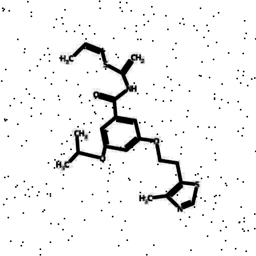 C=C(NC(=O)c1cc(OCCc2scnc2C)cc(OC(C)C)c1)S/C=C\C